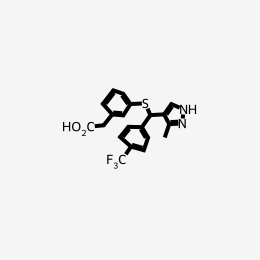 Cc1n[nH]cc1C(Sc1cccc(CC(=O)O)c1)c1ccc(C(F)(F)F)cc1